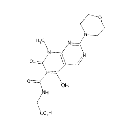 Cn1c(=O)c(C(=O)NCC(=O)O)c(O)c2cnc(N3CCOCC3)nc21